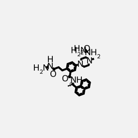 C[C@@H](NC(=O)c1cc(N2CCN(C)CC2)ccc1CCC(=O)NN)c1cccc2ccccc12.NN.O